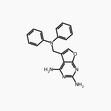 Nc1nc(N)c2c(CN(c3ccccc3)c3ccccc3)coc2n1